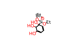 CCO[Si](OCC)(OCC)C1(O)C=CC=C(O)C1O